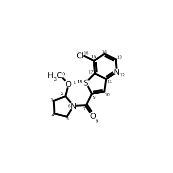 COC1CCCN1C(=O)c1cc2nccc(Cl)c2s1